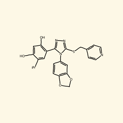 CC(C)c1cc(-c2nnc(SCc3ccncc3)n2-c2ccc3c(c2)OCO3)c(O)cc1O